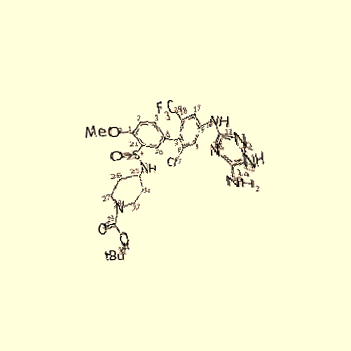 COc1ccc(-c2c(Cl)cc(Nc3n[nH]c(N)n3)cc2C(F)(F)F)cc1[S+]([O-])NC1CCN(C(=O)OC(C)(C)C)CC1